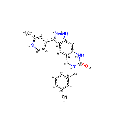 Cc1cc(-c2n[nH]c3cc4c(cc23)CN(Cc2cccc(C#N)c2)C(=O)N4)ccn1